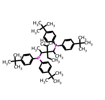 CCC(C(C)C)(C(C)P(c1ccc(C(C)(C)C)cc1)c1ccc(C(C)(C)C)cc1)C(C)P(c1ccc(C(C)(C)C)cc1)c1ccc(C(C)(C)C)cc1